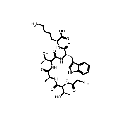 C[C@H](NC(=O)[C@@H](NC(=O)CN)[C@@H](C)O)C(=O)N[C@H](C(=O)N[C@@H](Cc1c[nH]c2ccccc12)C(=O)N[C@@H](CCCCN)C(=O)O)[C@@H](C)O